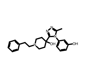 Cc1nnc(C2(O)CCN(CCc3ccccc3)CC2)n1-c1cccc(O)c1